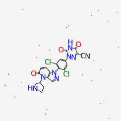 N#Cc1nn(-c2cc(Cl)c(-n3ncc4c3ccc(=O)n4C3CCNC3)c(Cl)c2)c(=O)[nH]c1=O